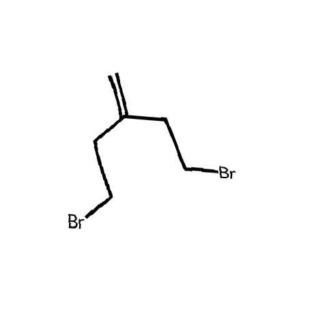 C=C(CCBr)CCBr